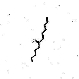 C=CC=CC=CC(=O)CCCCC